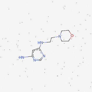 [NH]c1cc(NCCN2CCOCC2)ncn1